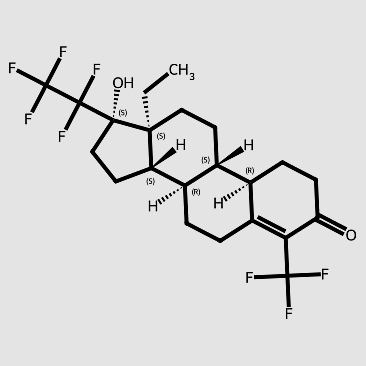 CC[C@]12CC[C@H]3[C@@H](CCC4=C(C(F)(F)F)C(=O)CC[C@@H]43)[C@@H]1CC[C@@]2(O)C(F)(F)C(F)(F)F